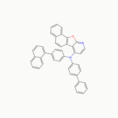 c1ccc(-c2ccc(N(c3ccc(-c4cccc5ccccc45)cc3)c3ccnc4oc5c6ccccc6ccc5c34)cc2)cc1